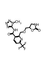 Cn1nnnc1NC(=O)c1ccc(C(F)(F)F)nc1COCC1CNC(=O)O1